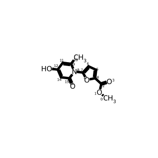 COC(=O)c1ccc(-n2c(C)cc(O)cc2=O)o1